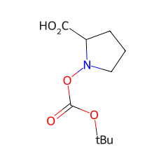 CC(C)(C)OC(=O)ON1CCCC1C(=O)O